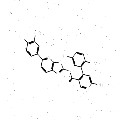 COc1cc(-c2ccc3nc(NC(=O)c4cnc(C)cc4-c4cc(C#N)ccc4OC)sc3n2)ccc1C#N